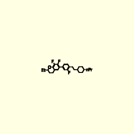 CCCC1CCC(CCc2ccc(-c3cc4c(c(F)c3F)OC(CC)CC4)cc2F)CC1